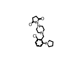 O=C1CCC(=O)N1N1CCN(Cc2c(Cl)cccc2N2CCCC2)CC1